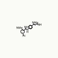 CNC1=C(C(=N)Nc2ccc(/C(=C/C=N)NC)cc2)CN(C(C)=O)CC1